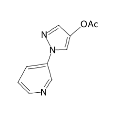 CC(=O)Oc1cnn(-c2cccnc2)c1